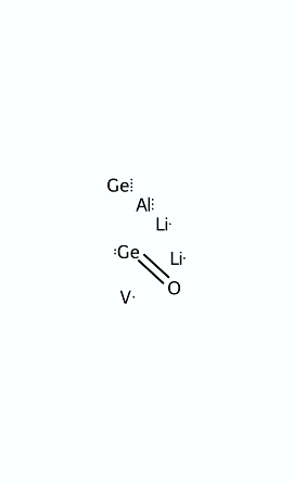 [Al].[Ge].[Li].[Li].[O]=[Ge].[V]